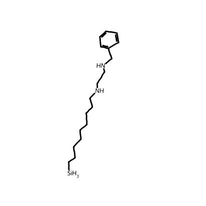 [SiH3]CCCCCCCCCNCCNCc1ccccc1